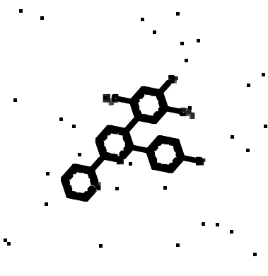 Cc1cc(-c2ccc(-c3ccccn3)nc2-c2ccc(Br)cc2)c(C)cc1Br